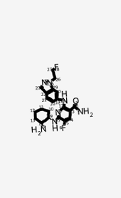 NC(=O)c1cc(F)c(N[C@H]2CCCC[C@H]2N)nc1Nc1ccc2cnn(CCF)c2c1